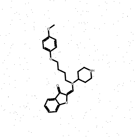 COc1ccc(OCCCCN(C=C2Oc3ccccc3C2=O)C2CCNCC2)cc1